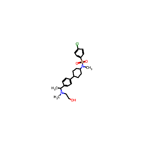 CC(c1ccc(C2CCC(N(C)S(=O)(=O)c3ccc(Cl)cc3)CC2)cc1)N(C)CCO